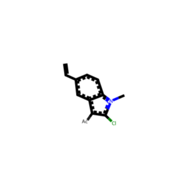 C=Cc1ccc2c(c1)c(C(C)=O)c(Cl)n2C